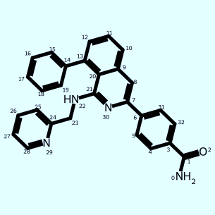 NC(=O)c1ccc(-c2cc3cccc(-c4ccccc4)c3c(NCc3ccccn3)n2)cc1